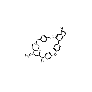 CN(CC(=O)Nc1ccc(Oc2ccc(-c3ccc4[nH]ccc4c3)cc2)cc1)C1CCN(Cc2ccc(C(=O)O)cc2)CC1